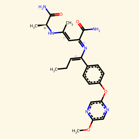 CC/C=C(/N=C(\C=C(/C)N[C@@H](C)C(N)=O)C(N)=O)c1ccc(Oc2cnc(OC)cn2)cc1